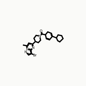 Cc1cc(C2CCN(C(=O)C3C=CC(C4CCCCC4)=CC3)CC2)nc2c(Br)cnn12